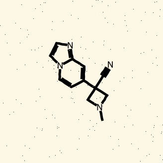 CN1CC(C#N)(c2ccn3ccnc3c2)C1